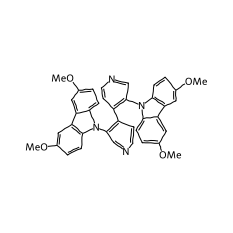 COc1ccc2c(c1)c1cc(OC)ccc1n2-c1cnccc1-c1ccncc1-n1c2ccc(OC)cc2c2cc(OC)ccc21